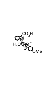 COc1ccc(S(=O)(=O)N2C[C@@H](C)[C@@H](n3nc(CC(=O)O)c4ccccc43)C2)c(F)c1